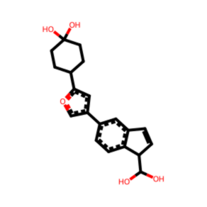 OC(O)C1C=Cc2cc(-c3coc(C4CCC(O)(O)CC4)c3)ccc21